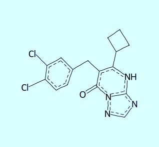 O=c1c(Cc2ccc(Cl)c(Cl)c2)c(C2CCC2)[nH]c2ncnn12